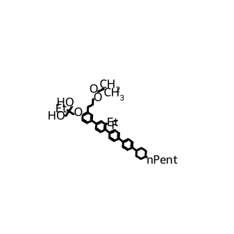 C=C(C)C(=O)OCCCc1cc(-c2ccc(-c3ccc(-c4ccc(C5CCC(CCCCC)CC5)cc4)cc3F)c(CC)c2)ccc1OCC(CC)(CO)CO